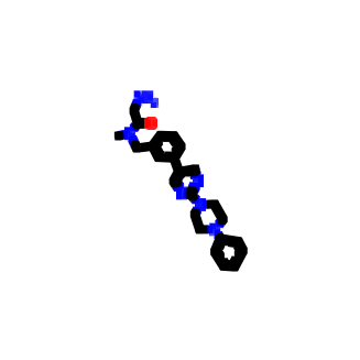 CN(Cc1cccc(-c2cnc(N3CCN(c4ccccc4)CC3)nc2)c1)C(=O)CN